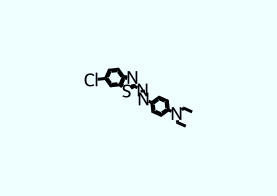 CCN(CC)c1ccc(N=Nc2nc3ccc(Cl)cc3s2)cc1